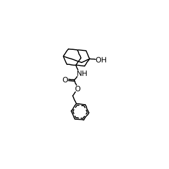 O=C(NC12CC3CC(CC(O)(C3)C1)C2)OCc1ccccc1